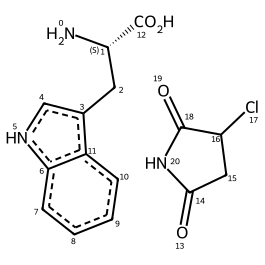 N[C@@H](Cc1c[nH]c2ccccc12)C(=O)O.O=C1CC(Cl)C(=O)N1